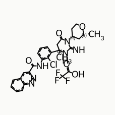 C[C@@H]1C[C@H](N2C(=N)N[C@](C)(c3cccc(NC(=O)c4cc5ccccc5nn4)c3Cl)CC2=O)CCO1.O=C(O)C(F)(F)F